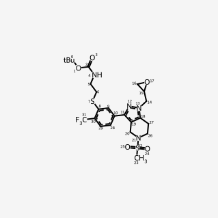 CC(C)(C)OC(=O)NCCSc1cc(-c2nn(CC3CO3)c3c2CN(S(C)(=O)=O)CC3)ccc1C(F)(F)F